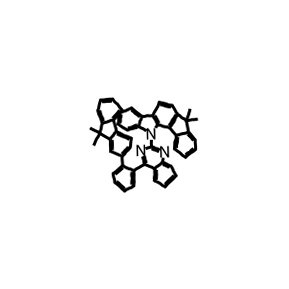 CC1(C)c2ccccc2-c2ccc(-c3ccccc3-c3nc(-n4c5ccccc5c5ccc6c(c54)-c4ccccc4C6(C)C)nc4ccccc34)cc21